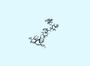 Cc1cc(CN2CCN(C(=O)COc3ccc(Br)cc3CCS(=O)(=O)O)CC2)c(C)cc1F